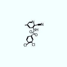 Cc1cnc(C#N)c(NS(=O)(=O)c2ccc(Cl)c(Cl)c2)c1